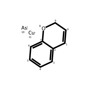 C1=Cc2ccccc2OC1.[As].[Cu]